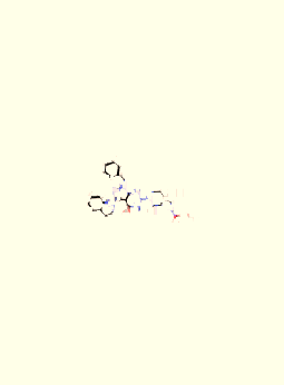 Cn1c(N2CCC(C)(CNC(=O)OC(C)(C)C)CC2)nc2c(c(N3CCC4C=CC=CC43C)nn2Cc2ccccc2)c1=O